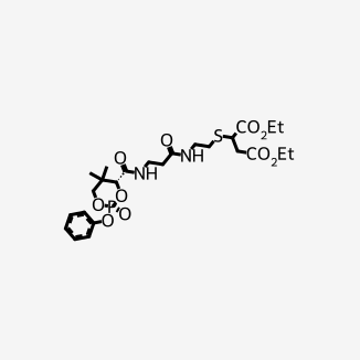 CCOC(=O)CC(SCCNC(=O)CCNC(=O)[C@@H]1OP(=O)(Oc2ccccc2)OCC1(C)C)C(=O)OCC